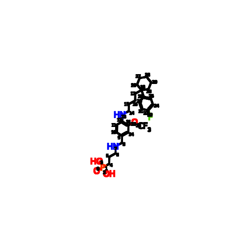 O=P(O)(O)CCCNCc1ccc(NCCCCC2(c3ccc(F)cc3)CCCCC2)c(OC(F)(F)F)c1